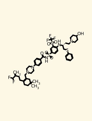 C=C(CCC1=C(CN2CCN(c3ccc(C(=O)NS(=O)(=O)c4ccc(N[C@H](CCN5CCC(O)CC5)CSc5ccccc5)c(S(=O)(=O)C(F)(F)F)c4)cc3)CC2)CC(C)(C)CC1)C(F)F